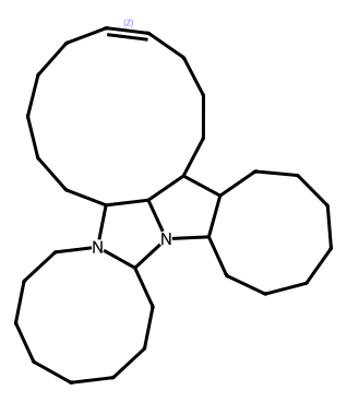 C1=C\CCCC2C3CCCCCCCC3N3C2C(CCCCC/1)N1CCCCCCCCC13